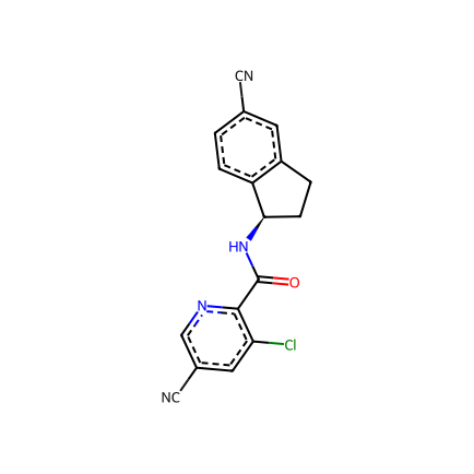 N#Cc1cnc(C(=O)N[C@@H]2CCc3cc(C#N)ccc32)c(Cl)c1